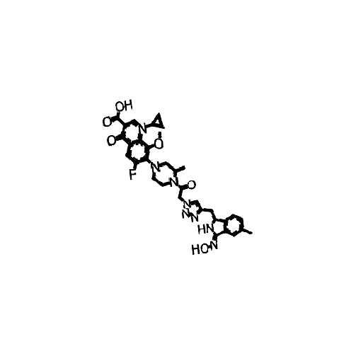 COc1c(N2CCN(C(=O)Cn3cc(CC4NC(=NO)c5cc(C)ccc54)nn3)C(C)C2)c(F)cc2c(=O)c(C(=O)O)cn(C3CC3)c12